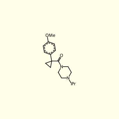 COc1ccc(C2(C(=O)N3CCN(C(C)C)CC3)CC2)cc1